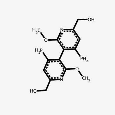 COc1nc(CO)cc(P)c1-c1c(P)cc(CO)nc1OC